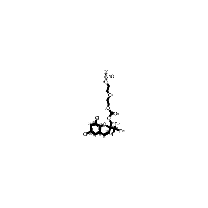 O=C(OCCOCCO[N+](=O)[O-])OCC1(C(F)(F)F)C=Cc2cc(Cl)cc(Cl)c2O1